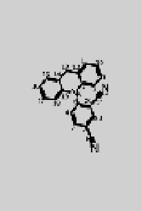 N#Cc1ccc(N2c3ccccc3Cc3ccccc32)c(C#N)c1